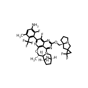 Cc1cc(N)c(F)c(-c2nc3c4c(nc(OC[C@@]56CCCN5CC5(CC5(F)F)C6)nc4c2F)N2C[C@H]4CC[C@H](N4)[C@H]2[C@H](C)O3)c1C(F)(F)F